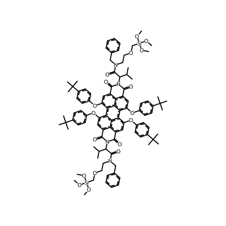 CO[Si](COCCN(Cc1ccccc1)C(=O)C(C(C)C)N1C(=O)c2cc(Oc3ccc(C(C)(C)C)cc3)c3c4c(Oc5ccc(C(C)(C)C)cc5)cc5c6c(cc(Oc7ccc(C(C)(C)C)cc7)c(c7c(Oc8ccc(C(C)(C)C)cc8)cc(c2c37)C1=O)c64)C(=O)N(C(C(=O)N(CCOC[Si](OC)(OC)OC)Cc1ccccc1)C(C)C)C5=O)(OC)OC